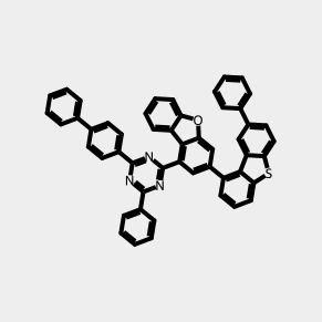 c1ccc(-c2ccc(-c3nc(-c4ccccc4)nc(-c4cc(-c5cccc6sc7ccc(-c8ccccc8)cc7c56)cc5oc6ccccc6c45)n3)cc2)cc1